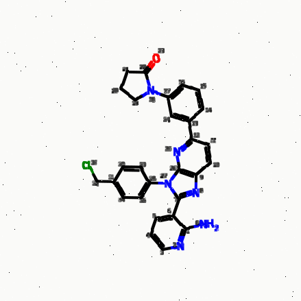 Nc1ncccc1-c1nc2ccc(-c3cccc(N4CCCC4=O)c3)nc2n1-c1ccc(CCl)cc1